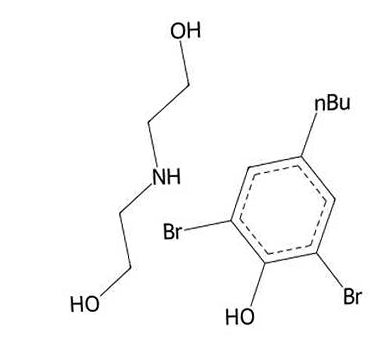 CCCCc1cc(Br)c(O)c(Br)c1.OCCNCCO